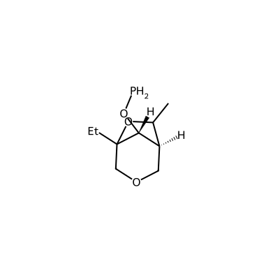 CCC12COC[C@H](C(C)O1)[C@H]2OP